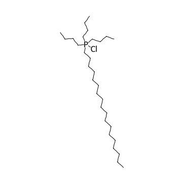 CCCCCCCCCCCCCCCCCCP(Cl)(CCCC)(CCCC)CCCC